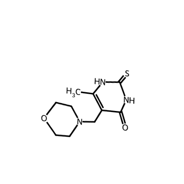 Cc1[nH]c(=S)[nH]c(=O)c1CN1CCOCC1